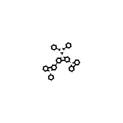 c1ccc(-c2nc(-c3ccccc3)nc(-n3c4ccc(-c5ccc6c(c5)c5ccccc5n6-c5ccccc5)cc4c4cc(-n5c6ccccc6c6ccccc65)ccc43)n2)cc1